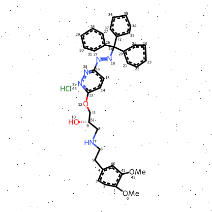 COc1ccc(CCNC[C@H](O)COc2ccc(N=NC(c3ccccc3)(c3ccccc3)c3ccccc3)nn2)cc1OC.Cl